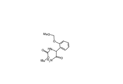 COCOc1ccccc1C(NC(=O)OC(C)(C)C)C(N)=O